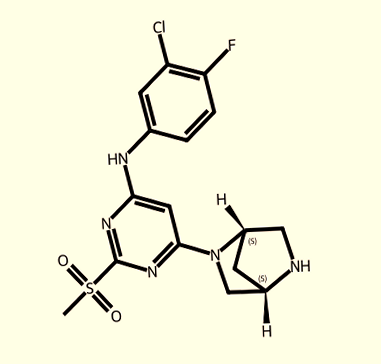 CS(=O)(=O)c1nc(Nc2ccc(F)c(Cl)c2)cc(N2C[C@@H]3C[C@H]2CN3)n1